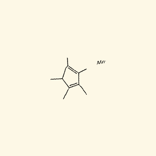 CC1=C(C)C(C)C(C)=C1C.[Mn]